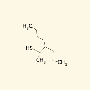 CCCCC(CCC)[C@H](C)S